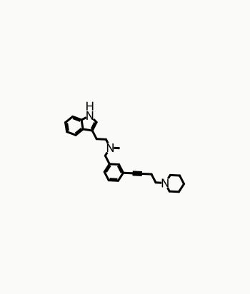 CN(CCc1c[nH]c2ccccc12)Cc1cccc(C#CCCN2CCCCC2)c1